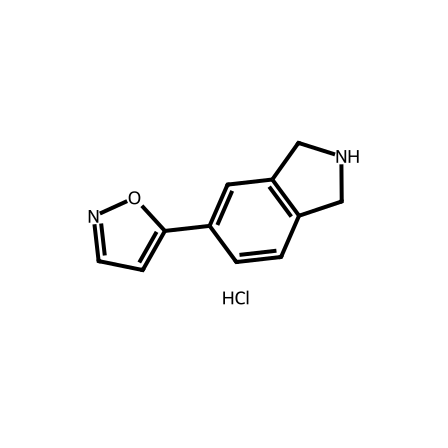 Cl.c1cc(-c2ccc3c(c2)CNC3)on1